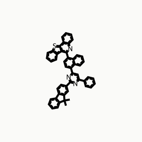 CC1(C)c2ccccc2-c2ccc(-c3nc(-c4ccccc4)cc(-c4ccc(-c5nc6ccccc6c6sc7ccccc7c56)c5ccccc45)n3)cc21